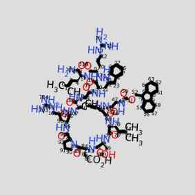 CC(C)=CC[C@H](NC(=O)[C@H](CCCNC(=N)N)NC(=O)[C@H](Cc1cc2ccccc2[nH]1)NC(=O)[C@H](C)NC(=O)[C@@H]1CC=C[C@H](NC(=O)CNC(=O)OCC2c3ccccc3-c3ccccc32)C(=O)N[C@@H](CC=C(C)C)C(=O)N[C@@H](CO)C(=O)N[C@@H](CC(=O)O)C(=O)N2CCCC2C(=O)N[C@@H](CCCNC(=N)N)C(=O)N1)C(N)=O